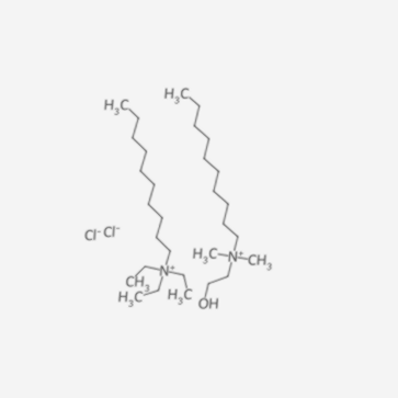 CCCCCCCCCC[N+](C)(C)CCO.CCCCCCCCCC[N+](CC)(CC)CC.[Cl-].[Cl-]